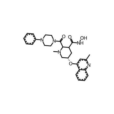 Cc1cc(O[C@H]2CC(C(=O)NO)C(C(=O)N3CCN(c4ccccc4)CC3)N(C)C2)c2ccccc2n1